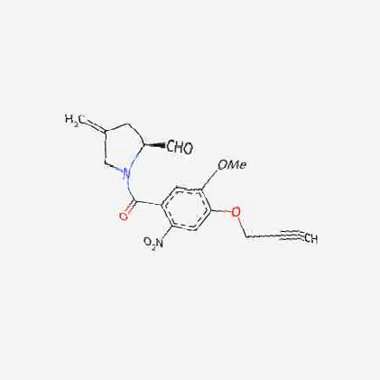 C#CCOc1cc([N+](=O)[O-])c(C(=O)N2CC(=C)C[C@H]2C=O)cc1OC